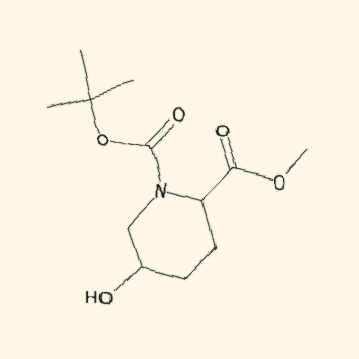 COC(=O)C1CCC(O)CN1C(=O)OC(C)(C)C